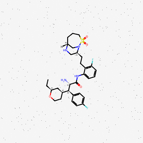 CC[C@H]1C[C@@H]([C@H](c2ccc(F)cc2)[C@H](N)C(=O)Nc2cccc(F)c2CC[C@H]2CN[C@@H]3CCCS(=O)(=O)N2C3)CCO1